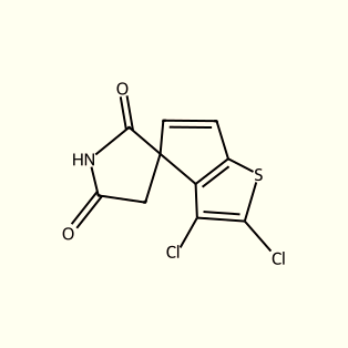 O=C1CC2(C=Cc3sc(Cl)c(Cl)c32)C(=O)N1